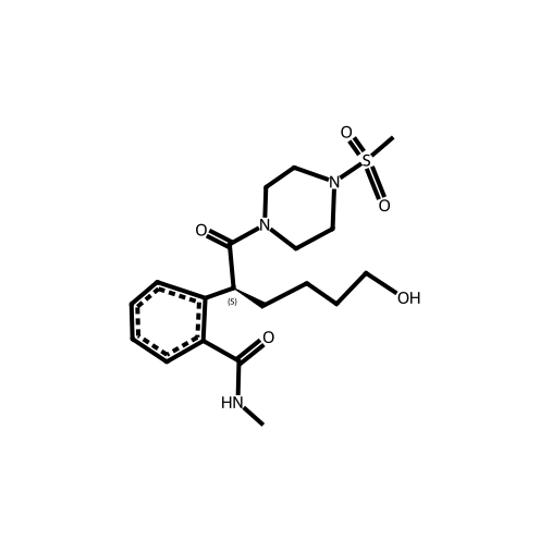 CNC(=O)c1ccccc1[C@H](CCCCO)C(=O)N1CCN(S(C)(=O)=O)CC1